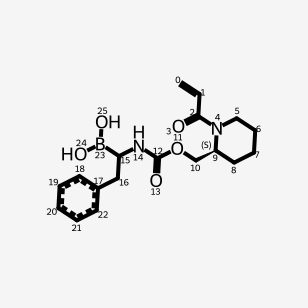 C=CC(=O)N1CCCC[C@H]1COC(=O)NC(Cc1ccccc1)B(O)O